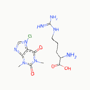 Cn1c(=O)c2c(ncn2Cl)n(C)c1=O.N=C(N)NCCCC(N)C(=O)O